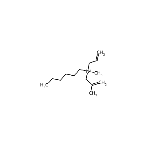 C=CC[N+](C)(CCCCCC)CC(=C)C